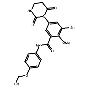 COc1c(C(=O)Nc2ccc(OCC#N)cc2)cc(N2C(=O)CCNC2=O)cc1C(C)(C)C